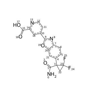 NC(=O)C1(c2ccc3nc(-c4ccnc(C(=O)O)c4)oc3c2)CC1(F)F